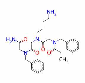 CCC(=O)N(CC(=O)N(CCCCN)CC(=O)N(CC(N)=O)Cc1ccccc1)Cc1ccccc1